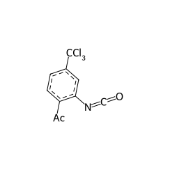 CC(=O)c1ccc(C(Cl)(Cl)Cl)cc1N=C=O